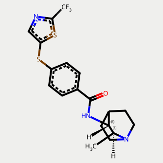 C[C@H]1[C@H](NC(=O)c2ccc(Sc3cnc(C(F)(F)F)s3)cc2)C2CCN1CC2